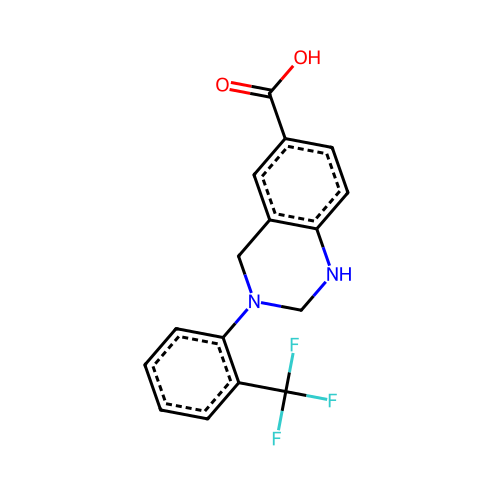 O=C(O)c1ccc2c(c1)CN(c1ccccc1C(F)(F)F)CN2